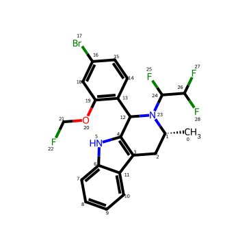 C[C@@H]1Cc2c([nH]c3ccccc23)C(c2ccc(Br)cc2OCF)N1C(F)C(F)F